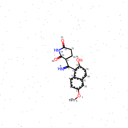 CCCOc1ccc2c(C(=N)C3CCC(=O)NC3=O)c(O)ccc2c1